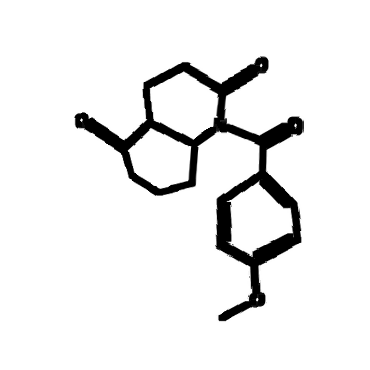 COc1ccc(C(=O)N2C(=O)CCC3C(=O)CCCC32)cc1